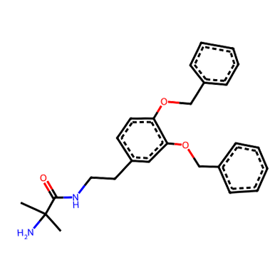 CC(C)(N)C(=O)NCCc1ccc(OCc2ccccc2)c(OCc2ccccc2)c1